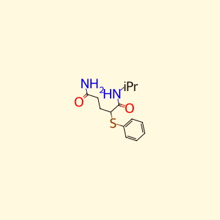 CC(C)NC(=O)C(CCC(N)=O)Sc1ccccc1